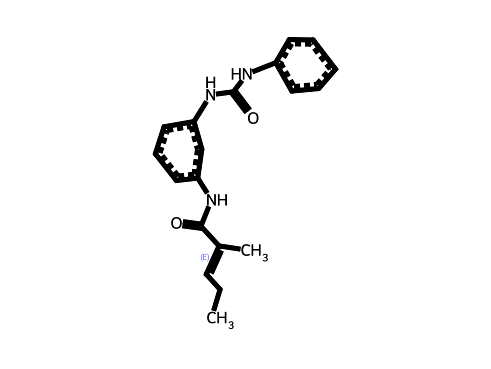 CC/C=C(\C)C(=O)Nc1cccc(NC(=O)Nc2ccccc2)c1